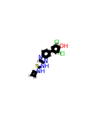 Oc1c(Cl)cc(-c2ccc3ncc(NC(=S)NC4CCC4)nc3c2)cc1Cl